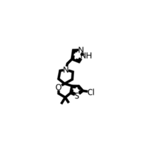 CC1(C)COC2(CCN(Cc3cn[nH]c3)CC2)c2cc(Cl)sc21